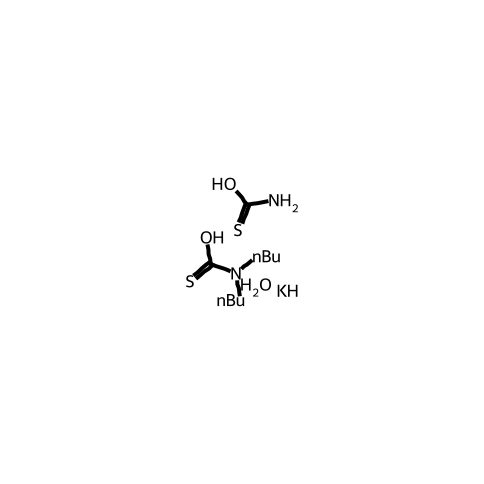 CCCCN(CCCC)C(O)=S.NC(O)=S.O.[KH]